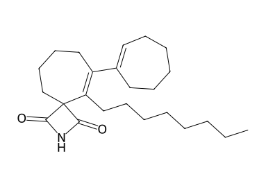 CCCCCCCCC1=C(C2=CCCCCC2)CCCCC12C(=O)NC2=O